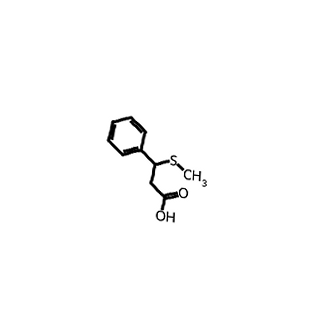 CSC(CC(=O)O)c1ccccc1